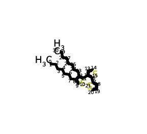 CCCCCCCCc1csc(-c2ccsc2-c2cccs2)c1CCCCCCCC